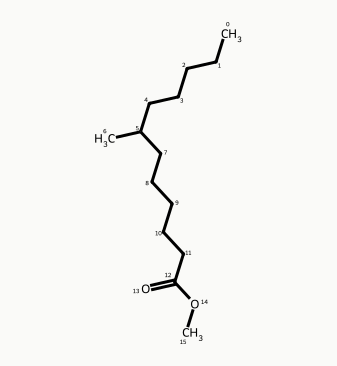 CCCCCC(C)CCCCCC(=O)OC